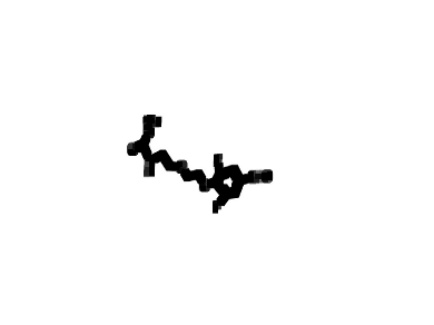 CC(C)(C)OC(=O)NCCOCCOc1c(F)cc(C=O)cc1F